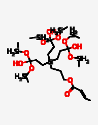 CC=CC(=O)OCCC[Si](CCC(O)(O[SiH2]C)O[SiH2]C)(CCC(O)(O[SiH2]C)O[SiH2]C)CCC(O)(O[SiH2]C)O[SiH2]C